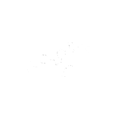 CC(F)Oc1cccc(-n2nc([C@H](O)C3CC3)c3cc(C(=O)NC4(C)CS(=O)(=O)C4)ccc32)c1